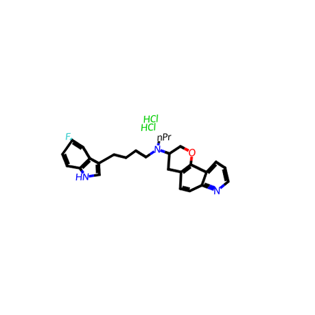 CCCN(CCCCc1c[nH]c2ccc(F)cc12)C1COc2c(ccc3ncccc23)C1.Cl.Cl